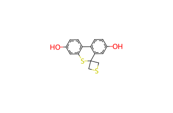 Oc1ccc2c(c1)SC1(CSC1)c1cc(O)ccc1-2